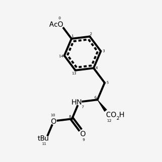 CC(=O)Oc1ccc(C[C@H](NC(=O)OC(C)(C)C)C(=O)O)cc1